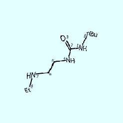 CCCCNC(=O)NCCNCC